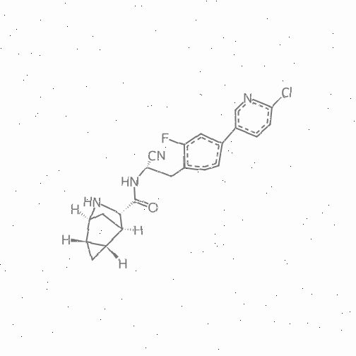 N#C[C@H](Cc1ccc(-c2ccc(Cl)nc2)cc1F)NC(=O)[C@H]1N[C@H]2C[C@@H]1[C@@H]1C[C@@H]12